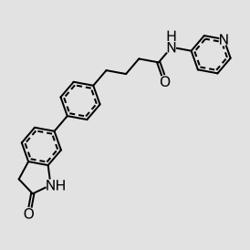 O=C(CCCc1ccc(-c2ccc3c(c2)NC(=O)C3)cc1)Nc1cccnc1